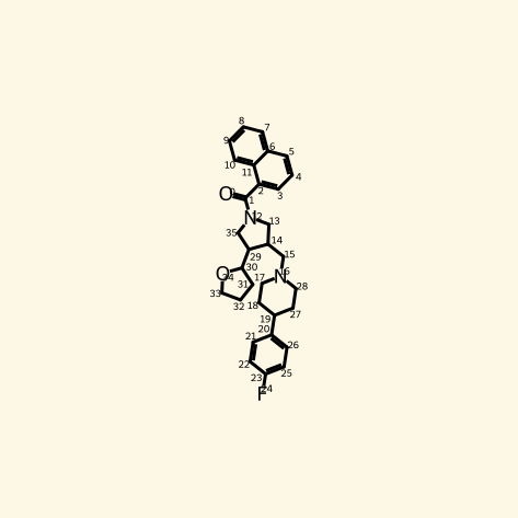 O=C(c1cccc2ccccc12)N1CC(CN2CCC(c3ccc(F)cc3)CC2)C(C2CCCO2)C1